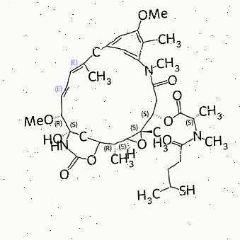 COc1cc2cc(c1C)N(C)C(=O)C[C@H](OC(=O)[C@H](C)N(C)C(=O)CCC(C)S)[C@]1(C)O[C@H]1[C@H](C)C1C[C@@](O)(NC(=O)O1)[C@H](OC)/C=C/C=C(\C)C2